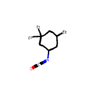 CCC1CC(N=C=O)CC(CC)(CC)C1